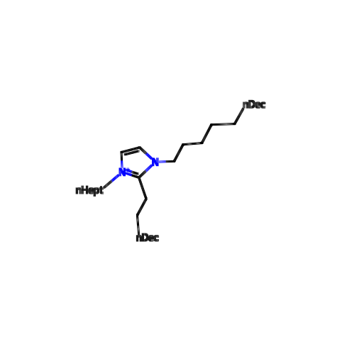 CCCCCCCCCCCCCCCn1cc[n+](CCCCCCC)c1CCCCCCCCCCCC